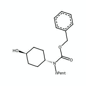 CCCCCN(C(=O)OCc1ccccc1)[C@H]1CC[C@H](O)CC1